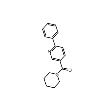 O=C(c1ccc(-c2ccccc2)nc1)N1CCCCC1